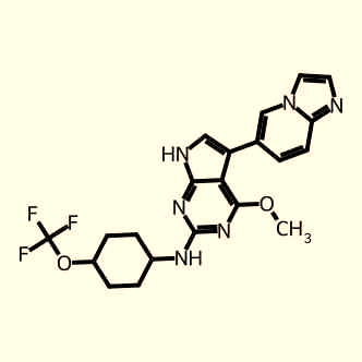 COc1nc(NC2CCC(OC(F)(F)F)CC2)nc2[nH]cc(-c3ccc4nccn4c3)c12